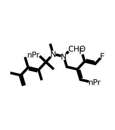 C=C(C)/C(C)=C(\C)C(C)(CCC)N(C)N(C=O)CC(=C/CCC)/C(F)=C/F